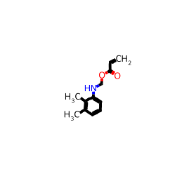 C=CC(=O)OCNc1cccc(C)c1C